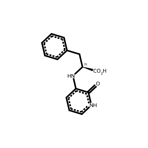 O=C(O)[C@H](Cc1ccccc1)Nc1ccc[nH]c1=O